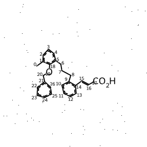 Cc1cccc(CCCc2ccccc2C=CC(=O)O)c1OCc1ccccc1